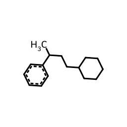 CC(CCC1CCCCC1)c1ccccc1